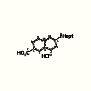 CCCCCCCc1ccc2cc(C(=O)O)ccc2c1.Cl